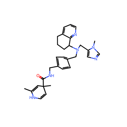 CC1=CC(C)(C(=O)NCc2ccc(CN(Cc3cncn3C)C3CCCc4cccnc43)cc2)C=CN1